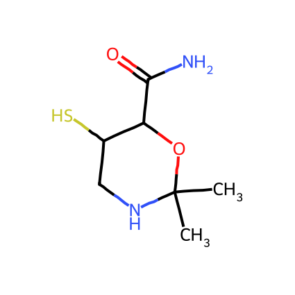 CC1(C)NCC(S)C(C(N)=O)O1